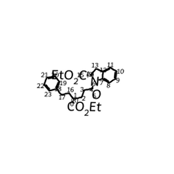 CCOC(=O)[C@@H](CCC(=O)N1c2ccccc2C[C@H]1C(=O)OCC)CCc1ccccc1